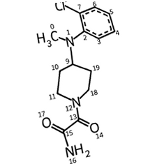 CN(c1ccccc1Cl)C1CCN(C(=O)C(N)=O)CC1